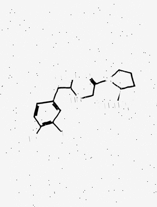 C[C@H](NC(Cc1ccc(O)c(I)c1)C(=O)O)C(=O)N1CCC[C@H]1C(=O)O